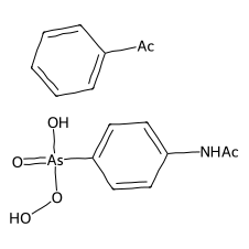 CC(=O)Nc1ccc([As](=O)(O)OO)cc1.CC(=O)c1ccccc1